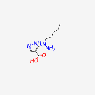 CCCCCN(N)c1[nH]ncc1C(=O)O